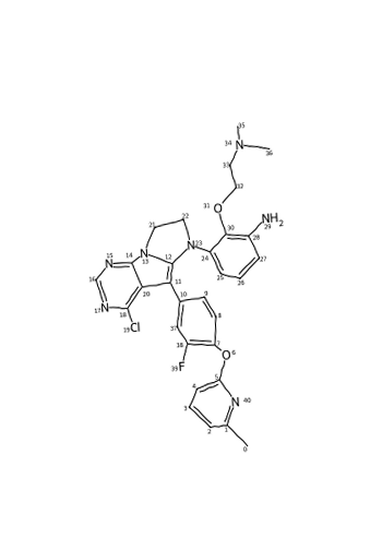 Cc1cccc(Oc2ccc(-c3c4n(c5ncnc(Cl)c35)CCN4c3cccc(N)c3OCCN(C)C)cc2F)n1